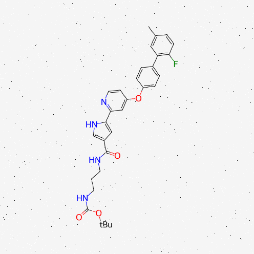 Cc1ccc(F)c(-c2ccc(Oc3ccnc(-c4cc(C(=O)NCCCNC(=O)OC(C)(C)C)c[nH]4)c3)cc2)c1